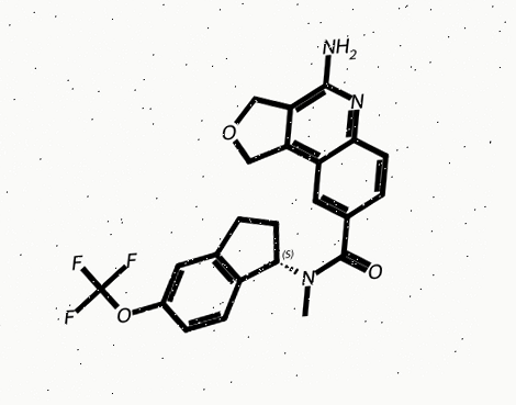 CN(C(=O)c1ccc2nc(N)c3c(c2c1)COC3)[C@H]1CCc2cc(OC(F)(F)F)ccc21